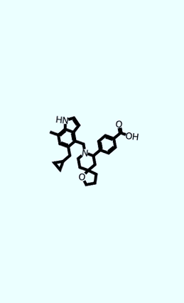 Cc1cc(CC2CC2)c(CN2CCC3(CCCO3)CC2c2ccc(C(=O)O)cc2)c2cc[nH]c12